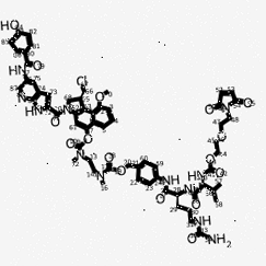 COc1cccc2c(OC(=O)N(C)CCN(C)C(=O)OCc3ccc(NC(=O)[C@H](CCCNC(N)=O)NC(=O)[C@@H](NC(=O)OCCOCCN4C(=O)C=CC4=O)C(C)C)cc3)cc3c(c12)[C@H](CCl)CN3C(=O)c1cc2cc(NC(=O)c3ccc(O)cc3)cnc2[nH]1